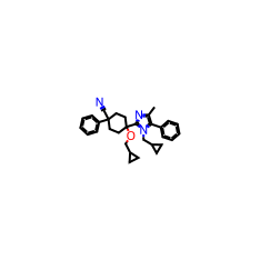 Cc1nc(C2(OCC3CC3)CCC(C#N)(c3ccccc3)CC2)n(CC2CC2)c1-c1ccccc1